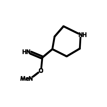 CNOC(=N)C1CCNCC1